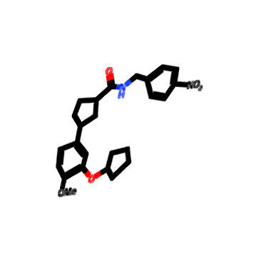 COc1ccc(C2CCC(C(=O)NCc3ccc([N+](=O)[O-])cc3)C2)cc1OC1CCCC1